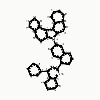 c1ccc(-c2nc(-c3cccc4cc(-n5c6ccc7ccccc7c6c6c7ccccc7ccc65)ccc34)nc3ccccc23)cc1